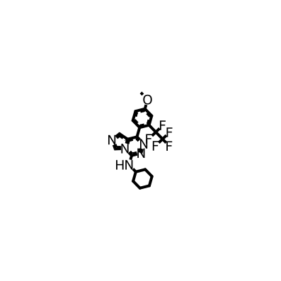 COc1ccc(-c2nnc(NC3CCCCC3)n3cncc23)c(C(F)(F)C(F)(F)F)c1